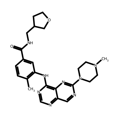 Cc1ccc(C(=O)NCC2CCOC2)cc1Nc1ncnc2cnc(N3CCN(C)CC3)nc12